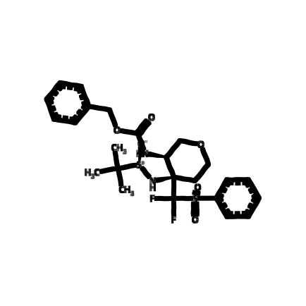 CC(C)(C)[S@@+]([O-])N[C@]1(C(F)(F)S(=O)(=O)c2ccccc2)CCOC[C@@H]1NC(=O)OCc1ccccc1